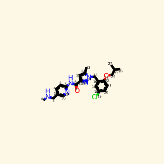 CNCc1ccc(NC(=O)c2cc(C)n(Cc3cc(Cl)ccc3OCC(C)C)n2)nc1